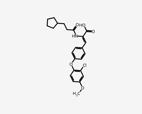 COc1ccc(Oc2ccc(/C=C(\NC(=O)CCC3CCCC3)C(=O)O)cc2)c(Cl)c1